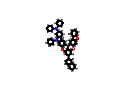 c1ccc(N(c2ccccc2)c2ccc3c4cc5c(cc4n(-c4ccccc4)c3c2)Oc2cc(-c3ccc4ccccc4c3)cc3c2B5c2cc4c(cc2O3)oc2ccccc24)cc1